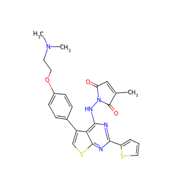 CC1=CC(=O)N(Nc2nc(-c3cccs3)nc3scc(-c4ccc(OCCN(C)C)cc4)c23)C1=O